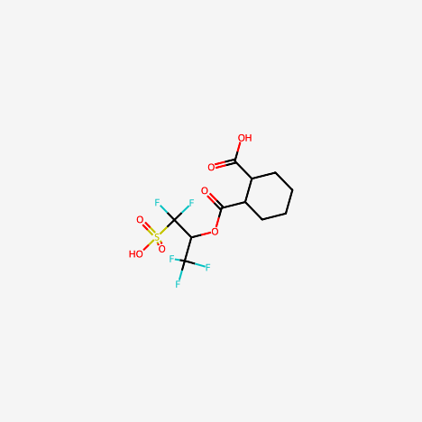 O=C(O)C1CCCCC1C(=O)OC(C(F)(F)F)C(F)(F)S(=O)(=O)O